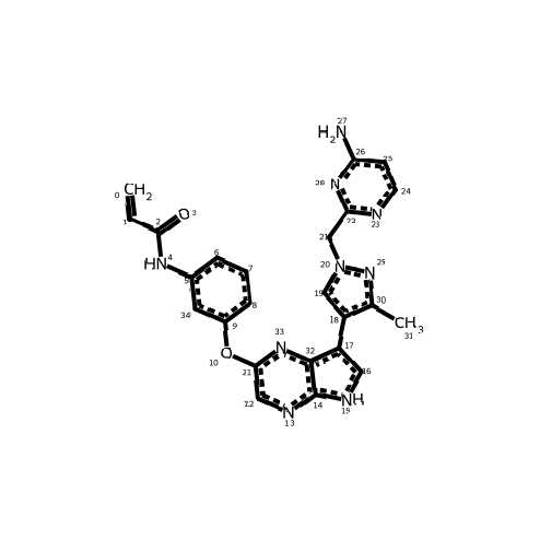 C=CC(=O)Nc1cccc(Oc2cnc3[nH]cc(-c4cn(Cc5nccc(N)n5)nc4C)c3n2)c1